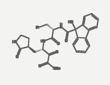 CNC(=O)C(=O)[C@H](C[C@@H]1CCNC1=O)NC(=O)[C@H](CC(C)C)NC(=O)C1(O)c2ccccc2-c2ccccc21